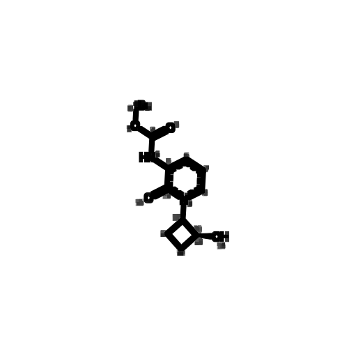 CC(C)(C)OC(=O)Nc1cccn(C2CC[C@@H]2O)c1=O